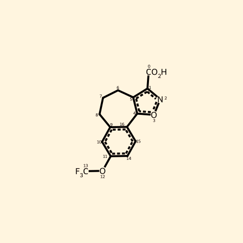 O=C(O)c1noc2c1CCCc1cc(OC(F)(F)F)ccc1-2